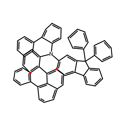 c1ccc(-c2ccccc2N(c2ccc3c(c2)C(c2ccccc2)(c2ccccc2)c2ccccc2-3)c2ccccc2-c2cccc3cccc(-c4ccccc4)c23)cc1